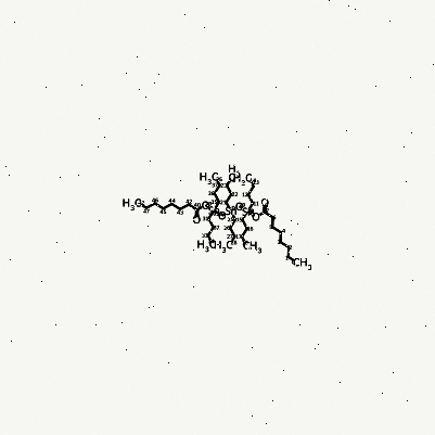 CCCCCCCC(=O)[O][Sn]([CH2]CCC)([CH2]CCC)[O][Sn]([CH2]CCC)([CH2]CCC)[O][Sn]([CH2]CCC)([CH2]CCC)[O]C(=O)CCCCCCC